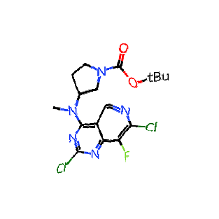 CN(c1nc(Cl)nc2c(F)c(Cl)ncc12)C1CCN(C(=O)OC(C)(C)C)C1